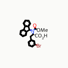 COC(=O)N(C1c2ccccc2-c2ccccc21)[C@@H](Cc1cccc(Br)c1)C(=O)O